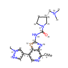 COc1ncc(-c2cnn(C)c2)c2sc(NC(=O)N3CC[C@H](CN(C)C)C3)nc12